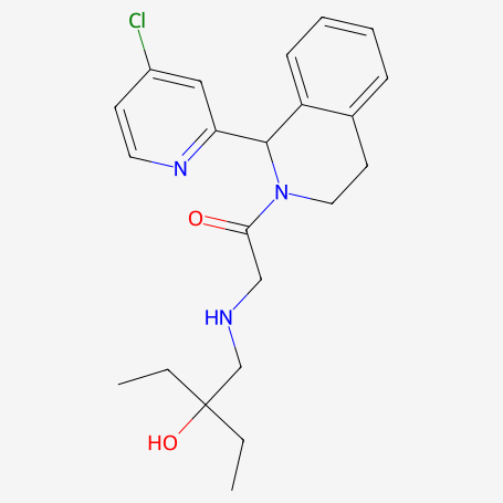 CCC(O)(CC)CNCC(=O)N1CCc2ccccc2C1c1cc(Cl)ccn1